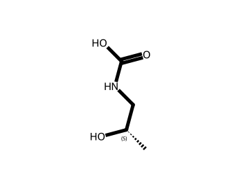 C[C@H](O)CNC(=O)O